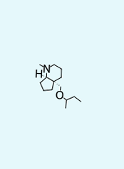 CCC(C)OC[C@]12CCC[C@H]1N(C)CCC2